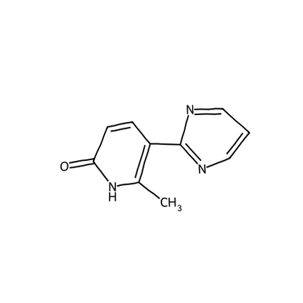 Cc1[nH]c(=O)ccc1-c1ncccn1